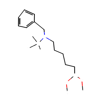 CCO[SiH](CCCCCN(Cc1ccccc1)[Si](C(C)C)(C(C)C)C(C)C)OCC